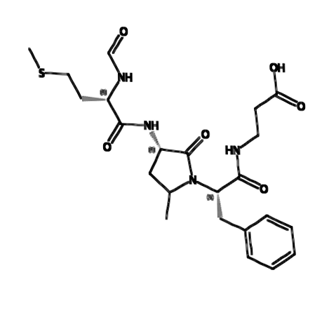 CSCC[C@H](NC=O)C(=O)N[C@H]1CC(C)N([C@@H](Cc2ccccc2)C(=O)NCCC(=O)O)C1=O